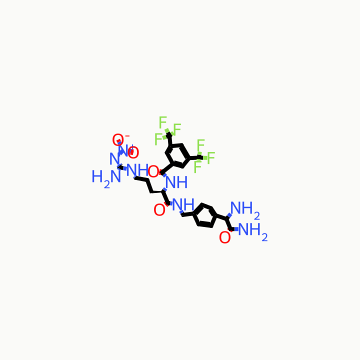 NC(=O)C(N)c1ccc(CNC(=O)[C@@H](CCCN/C(N)=N\[N+](=O)[O-])NC(=O)c2cc(C(F)(F)F)cc(C(F)(F)F)c2)cc1